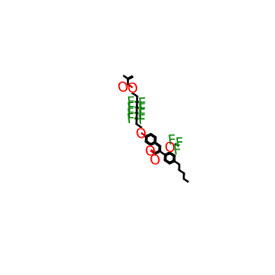 C=C(C)C(=O)OCCC(F)(F)C(F)(F)C(F)(F)C(F)(F)CCOc1ccc2cc(-c3ccc(CCCCC)cc3OC(F)(F)F)c(=O)oc2c1